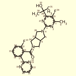 Cc1nc(N2CC3CN(C(=O)c4c(F)cccc4-c4ncccn4)CC3C2)nc(C(C)(C)O)c1F